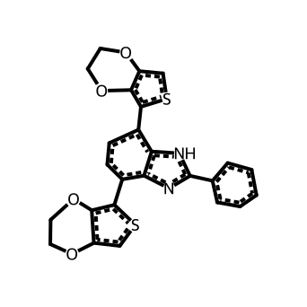 c1ccc(-c2nc3c(-c4scc5c4OCCO5)ccc(-c4scc5c4OCCO5)c3[nH]2)cc1